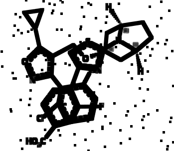 O=C(O)c1ccc(-c2csc(N3[C@@H]4CC[C@H]3C[C@H](OCc3c(-c5c(Cl)cccc5Cl)noc3C3CC3)C4)n2)c(F)c1